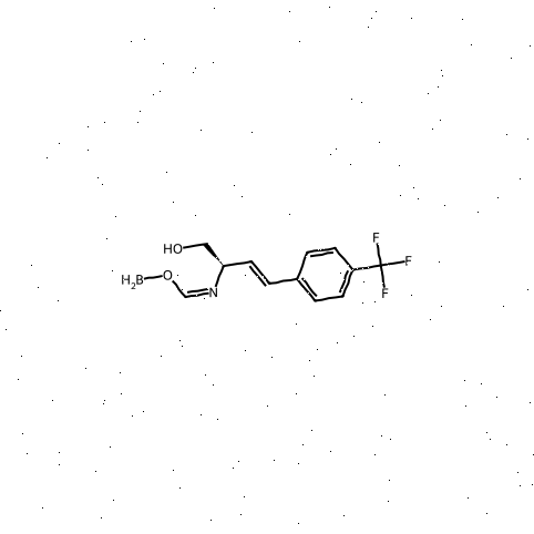 BO/C=N\[C@H](/C=C/c1ccc(C(F)(F)F)cc1)CO